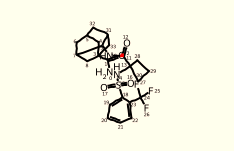 NC(=O)C12CC3CC(C1)C(NC(=O)C1(NS(=O)(=O)c4ccccc4C(F)(F)F)CCC1)C(C3)C2